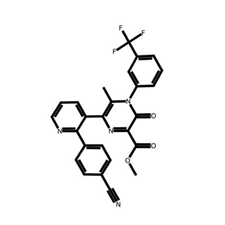 COC(=O)c1nc(-c2cccnc2-c2ccc(C#N)cc2)c(C)n(-c2cccc(C(F)(F)F)c2)c1=O